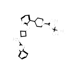 CC(C)(C)OC(=O)N1CCC(c2cccnc2O[C@H]2C[C@H](Nc3nc4ccccc4s3)C2)CC1